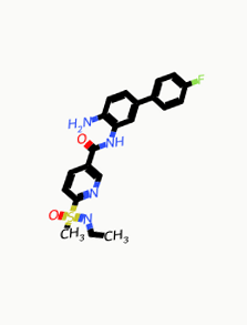 CCN=S(C)(=O)c1ccc(C(=O)Nc2cc(-c3ccc(F)cc3)ccc2N)cn1